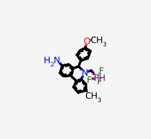 COc1ccc(C2c3cc(N)ccc3-c3ccc(C)cc3N2C[PH](F)(F)F)cc1